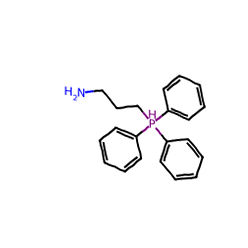 NCCC[PH](c1ccccc1)(c1ccccc1)c1ccccc1